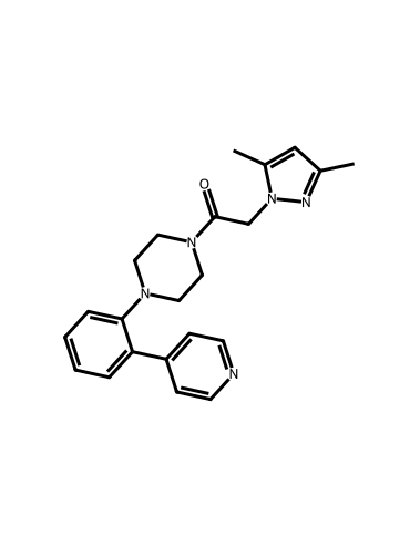 Cc1cc(C)n(CC(=O)N2CCN(c3ccccc3-c3ccncc3)CC2)n1